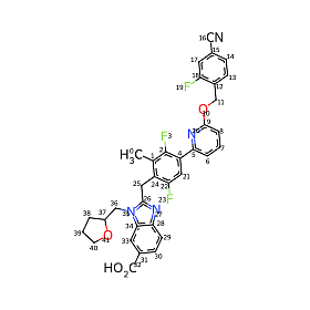 Cc1c(F)c(-c2cccc(OCc3ccc(C#N)cc3F)n2)cc(F)c1Cc1nc2ccc(C(=O)O)cc2n1CC1CCCO1